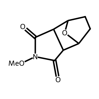 CON1C(=O)C2C3CCC(O3)C2C1=O